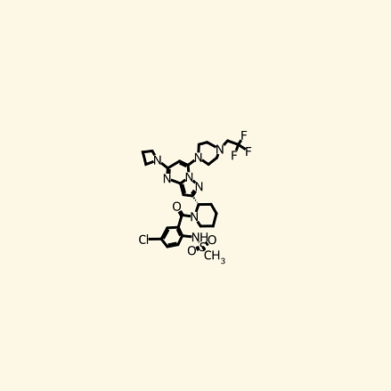 CS(=O)(=O)Nc1ccc(Cl)cc1C(=O)N1CCCC[C@H]1c1cc2nc(N3CCC3)cc(N3CCN(CC(F)(F)F)CC3)n2n1